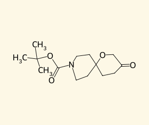 CC(C)(C)OC(=O)N1CCC2(CCC(=O)CO2)CC1